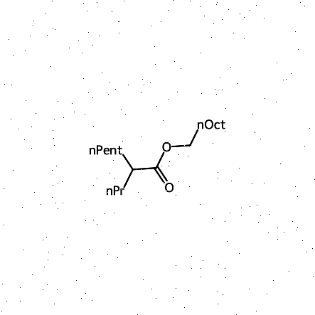 CCCCCCCCCOC(=O)C(CCC)CCCCC